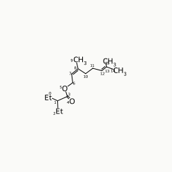 CCC(CC)C(=O)OCC=C(C)CCC=C(C)C